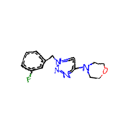 Fc1cccc(Cn2cc(N3CCOCC3)nn2)c1